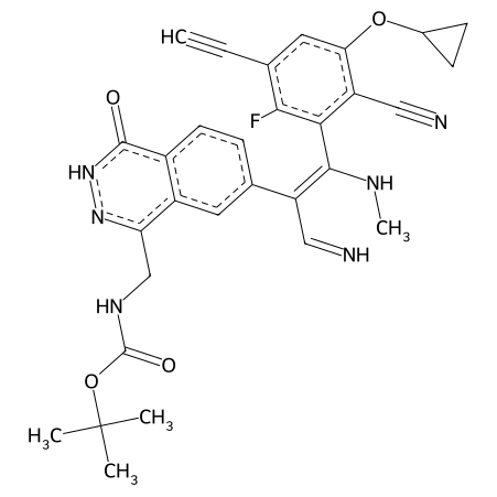 C#Cc1cc(OC2CC2)c(C#N)c(/C(NC)=C(/C=N)c2ccc3c(=O)[nH]nc(CNC(=O)OC(C)(C)C)c3c2)c1F